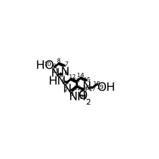 Nc1nc(Nc2nccc(O)n2)cc2ccn(CCO)c(=O)c12